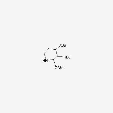 CCC(C)C1C(OC)NCCC1C(C)(C)C